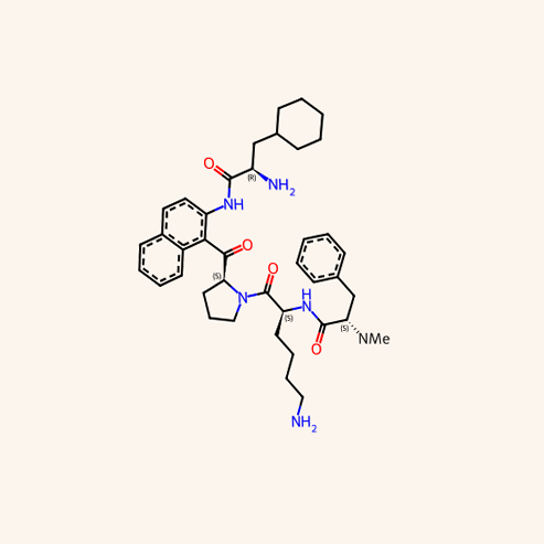 CN[C@@H](Cc1ccccc1)C(=O)N[C@@H](CCCCN)C(=O)N1CCC[C@H]1C(=O)c1c(NC(=O)[C@H](N)CC2CCCCC2)ccc2ccccc12